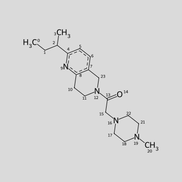 CCC(C)c1ccc2c(n1)CCN(C(=O)CN1CCN(C)CC1)C2